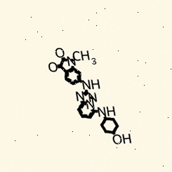 CN1C(=O)C(=O)c2ccc(Nc3nc4cccc(NC5CCC(O)CC5)n4n3)cc21